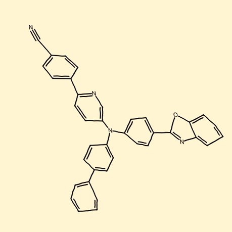 N#Cc1ccc(-c2ccc(N(c3ccc(-c4ccccc4)cc3)c3ccc(-c4nc5ccccc5o4)cc3)cn2)cc1